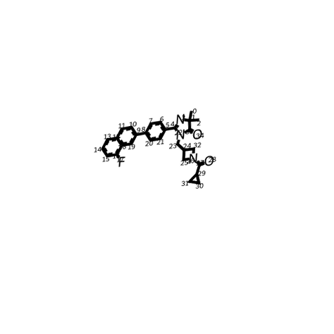 CC1(C)N=C(c2ccc(-c3ccc4cccc(F)c4c3)cc2)N(CC2CN(C(=O)C3CC3)C2)C1=O